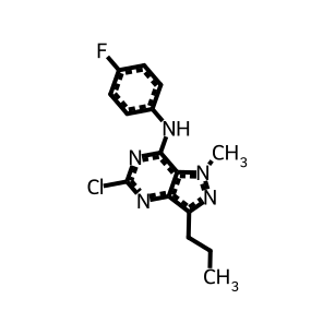 CCCc1nn(C)c2c(Nc3ccc(F)cc3)nc(Cl)nc12